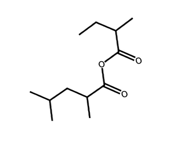 CCC(C)C(=O)OC(=O)C(C)CC(C)C